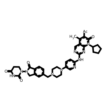 CC(=O)c1c(C)c2cnc(Nc3ccc(N4CCN(Cc5ccc6c(c5)CN(N5CCC(=O)NC5=O)C6=O)CC4)cn3)nc2n(C2CCCC2)c1=O